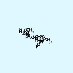 CCc1nc2ccc(-c3ccc(N4CCC(NC5CCN(C(=O)OC(C)(C)C)CC5)CC4)nc3)cn2c1N(C)c1nc(-c2ccc(F)cc2)c(C#N)s1